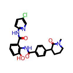 CN1CCCC(c2ccc(C(=O)Nc3c(O)cccc3C(=O)Nc3ccc(Cl)cn3)cc2)C1=O